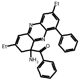 CCC1=Cc2nc3cc(CC)cc(-c4ccccc4)c3nc2C(N)(C(=O)c2ccccc2)C1